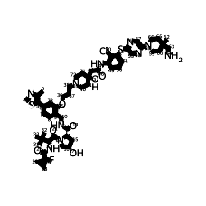 Cc1ncsc1-c1ccc(CNC(=O)[C@@H]2C[C@@H](O)CN2C(=O)[C@@H](NC(=O)C2(F)CC2)C(C)(C)C)c(OCCCN2CCC(O)(CC(=O)Nc3cccc(Sc4cnc(N5CCC(C)(CN)CC5)cn4)c3Cl)CC2)c1